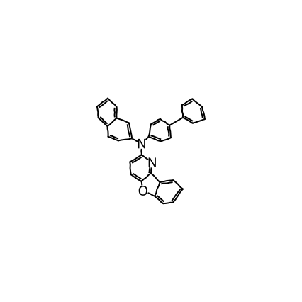 c1ccc(-c2ccc(N(c3ccc4ccccc4c3)c3ccc4oc5ccccc5c4n3)cc2)cc1